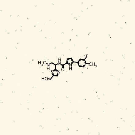 CNCC(NC(=O)c1ccc(-c2ccc(C)c(F)c2)[nH]1)c1ncc(CO)s1